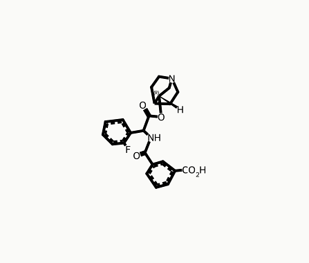 O=C(O)c1cccc(C(=O)NC(C(=O)O[C@H]2CN3CCC2CC3)c2ccccc2F)c1